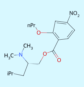 CCCOc1cc([N+](=O)[O-])ccc1C(=O)OC[C@H](CC(C)C)N(C)C